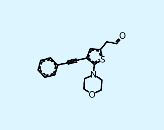 O=CCc1cc(C#Cc2ccccc2)c(N2CCOCC2)s1